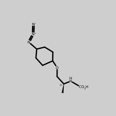 C[C@@H](COC1CCC(N=[N+]=[N-])CC1)NC(=O)O